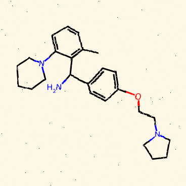 Cc1cccc(N2CCCCC2)c1C(N)c1ccc(OCCN2CCCC2)cc1